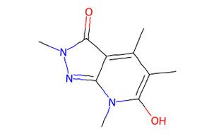 Cc1c(C)c(O)n(C)c2nn(C)c(=O)c1-2